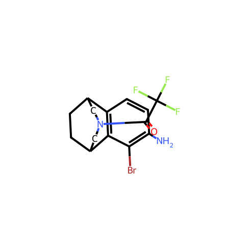 Nc1ccc2c(c1Br)C1CCC2CN(C(=O)C(F)(F)F)C1